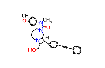 COc1ccc(N(C)C(=O)N2CCCCN3[C@H](CO)C(c4ccc(C#Cc5ccccc5)cc4)[C@@H]3C2)cc1